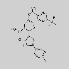 COC1=CC(OC(C)c2ccc(C(F)(F)F)cn2)=CCC1c1nc(-c2ccc(F)nc2)[nH]c1Cl